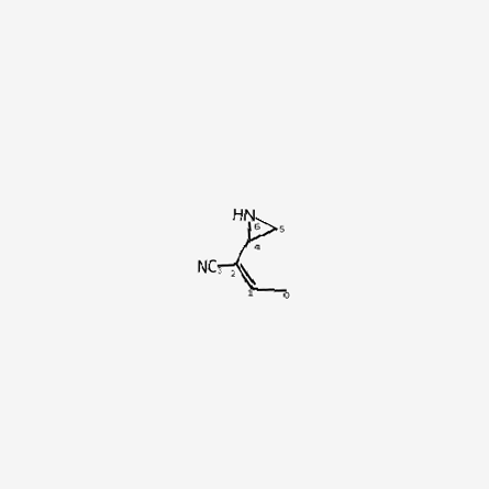 C/C=C(/C#N)C1CN1